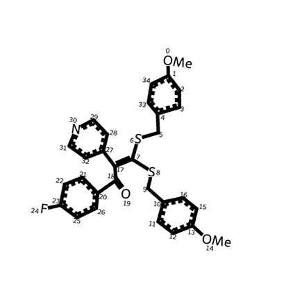 COc1ccc(CSC(SCc2ccc(OC)cc2)=C(C(=O)c2ccc(F)cc2)c2ccncc2)cc1